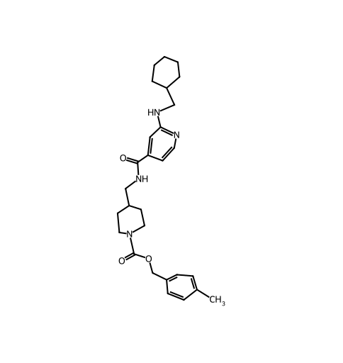 Cc1ccc(COC(=O)N2CCC(CNC(=O)c3ccnc(NCC4CCCCC4)c3)CC2)cc1